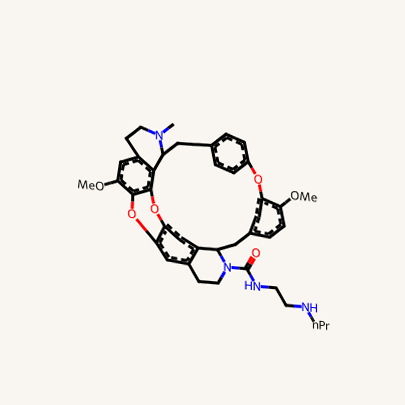 CCCNCCNC(=O)N1CCc2cc3c4cc2C1Cc1ccc(OC)c(c1)Oc1ccc(cc1)CC1c2c(cc(OC)c(c2O4)O3)CCN1C